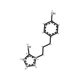 Oc1ccc(CCCn2nnnc2S)cc1